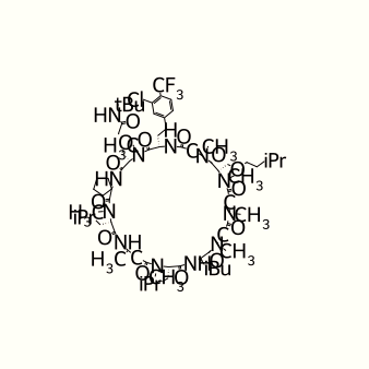 CC[C@H](C)[C@@H]1NC(=O)[C@H](CC(C)C)N(C)C(=O)C[C@@H](C)NC(=O)[C@H](CC(C)C)N(C)C(=O)C2(CCCC2)NC(=O)[C@H](COCC(=O)NC(C)(C)C)N(C)C(=O)[C@H](CCc2ccc(C(F)(F)F)c(Cl)c2)NC(=O)CN(C)C(=O)[C@H](COCCC(C)C)N(C)C(=O)CN(C)C(=O)CN(C)C1=O